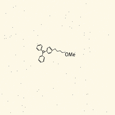 COCCCCCc1ccc(P(c2ccccc2)c2ccccc2)cc1